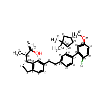 C=C(O)[C@H](C)[C@H]1CCc2ccc(CCc3ccc(-c4cc(OC)ccc4F)c([C@H]4CCCC4(C)C)c3)cc21